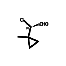 CC1([C@H](Cl)C=O)CC1